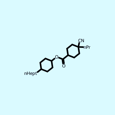 CCCCCCCC1CCC(OC(=O)C2CCC(C#N)(CCC)CC2)CC1